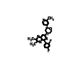 Cc1cc([C@H]2C[C@H](c3cc4nc(C)c(C)nc4c(-c4ccc(F)cc4F)n3)CCO2)ccn1